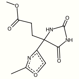 COC(=O)CCC1(c2coc(C)n2)NC(=O)NC1=O